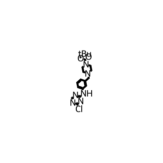 CC(C)(C)OC(=O)N1CCN(Cc2cccc(Nc3ncnc(Cl)n3)c2)CC1